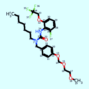 CCCCCCCN(Cc1ccc(OCOCCOC)cc1)C(=O)Nc1c(F)cccc1OCC(F)(F)F